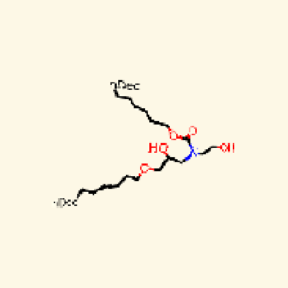 CCCCCCCCCCCCCCCCOCC(O)CN(CCO)C(=O)OCCCCCCCCCCCCCCCC